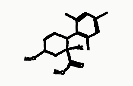 COC(=O)C1(C(C)=O)CC(OC)CCC1c1c(C)cc(C)cc1C